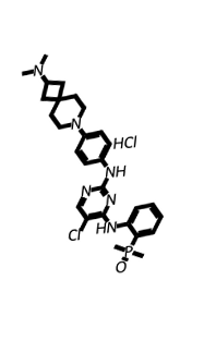 CN(C)C1CC2(CCN(c3ccc(Nc4ncc(Cl)c(Nc5ccccc5P(C)(C)=O)n4)cc3)CC2)C1.Cl